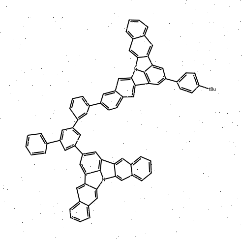 CC(C)(C)c1ccc(-c2cc3c4cc5ccccc5cc4n4c5cc6cc(-c7cccc(-c8cc(-c9ccccc9)cc(-c9cc%10c%11cc%12ccccc%12cc%11n%11c%12cc%13ccccc%13cc%12c(c9)c%10%11)c8)c7)ccc6cc5c(c2)c34)cc1